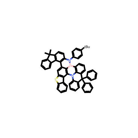 CC(C)(C)c1ccc(N2B3c4cccc5c4N(c4ccccc4C5(c4ccccc4)c4ccccc4)c4c3c(cc3sc5ccccc5c43)-c3c2ccc2c3-c3ccccc3C2(C)C)cc1